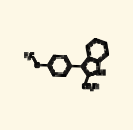 CCOC(=O)c1[nH]c2ccccc2c1-c1ccc(OC(F)(F)F)cc1